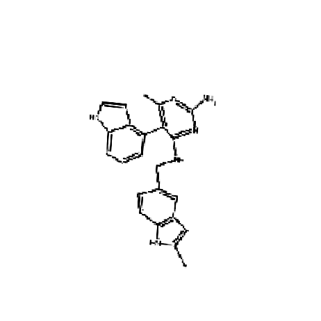 Cc1cc2cc(CNc3nc(N)nc(C)c3-c3cccc4[nH]ccc34)ccc2[nH]1